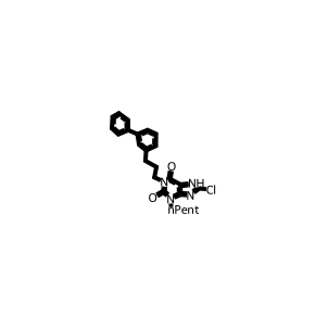 CCCCCn1c(=O)n(CCCc2cccc(-c3ccccc3)c2)c(=O)c2[nH]c(Cl)nc21